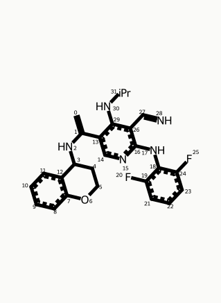 C=C(NC1CCOc2ccccc21)c1cnc(Nc2c(F)cccc2F)c(C=N)c1NC(C)C